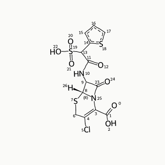 O=C(O)C1=C(Cl)CS[C@@H]2C(NC(=O)C(c3cccs3)S(=O)(=O)O)C(=O)N12